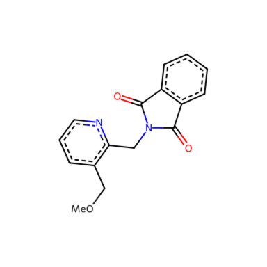 COCc1cccnc1CN1C(=O)c2ccccc2C1=O